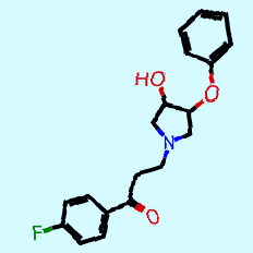 O=C(CCN1CC(O)C(Oc2ccccc2)C1)c1ccc(F)cc1